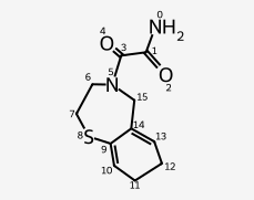 NC(=O)C(=O)N1CCSC2=CCCC=C2C1